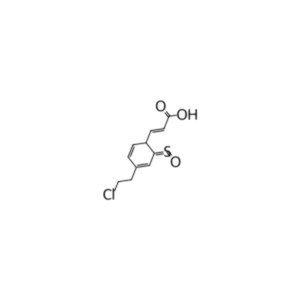 O=S=C1C=C(CCCl)C=CC1C=CC(=O)O